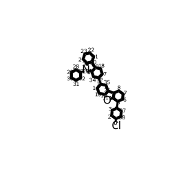 Clc1ccc(-c2cccc3c2oc2ccc(-c4ccc5c6ccccc6n(-c6ccccc6)c5c4)cc23)cc1